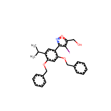 CC(C)c1cc(-c2noc(CO)c2I)c(OCc2ccccc2)cc1OCc1ccccc1